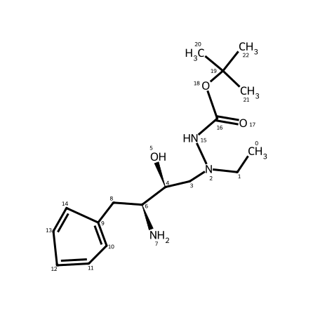 CCN(C[C@H](O)[C@@H](N)Cc1ccccc1)NC(=O)OC(C)(C)C